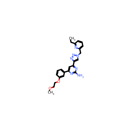 CCc1cccc(Cn2cc(-c3cc(-c4cccc(OCCOC)c4)nc(N)n3)nn2)n1